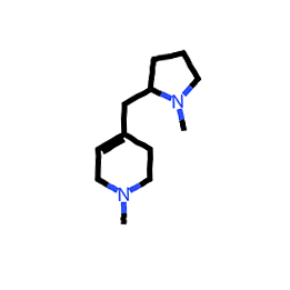 CN1CC=C(CC2CCCN2C)CC1